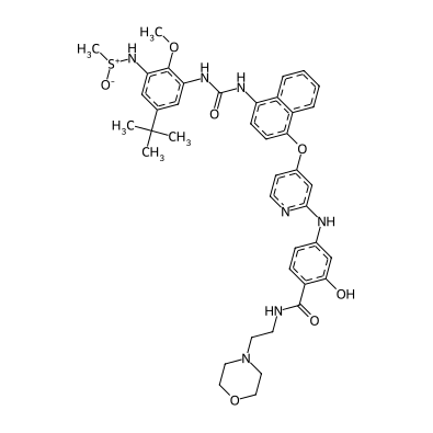 COc1c(NC(=O)Nc2ccc(Oc3ccnc(Nc4ccc(C(=O)NCCN5CCOCC5)c(O)c4)c3)c3ccccc23)cc(C(C)(C)C)cc1N[S+](C)[O-]